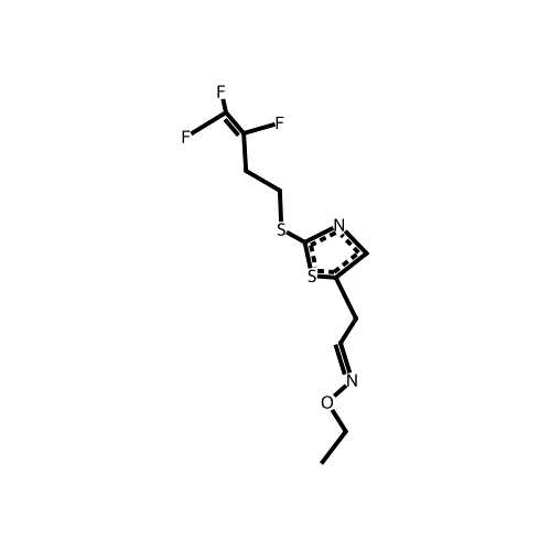 CCO/N=C/Cc1cnc(SCCC(F)=C(F)F)s1